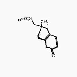 CCCCCCCCC1(C)CC2=C(CC(=O)C=C2)C1